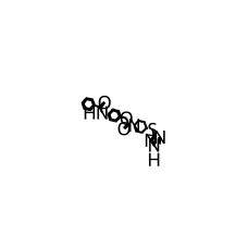 O=C(Nc1ccc(OC(=O)N2CCC(Sc3nc[nH]n3)CC2)cc1)c1ccccc1